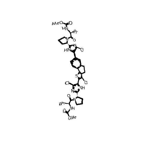 COC(=O)N[C@H](C(=O)N1CCC[C@H]1c1nc(Cl)c(-c2ccc3c(c2)CCc2c-3sc(-c3[nH]c([C@@H]4CCCN4C(=O)[C@@H](NC(=O)OC)C(C)C)nc3Cl)c2Cl)[nH]1)C(C)C